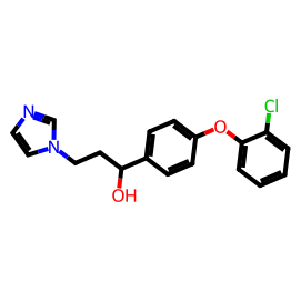 OC(CCn1ccnc1)c1ccc(Oc2ccccc2Cl)cc1